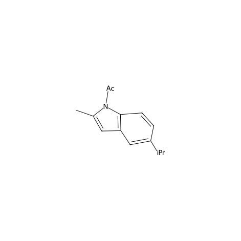 CC(=O)n1c(C)cc2cc(C(C)C)ccc21